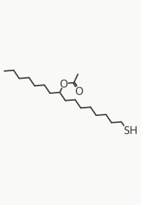 CCCCCCCC(CCCCCCCCS)OC(C)=O